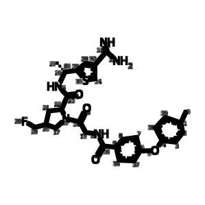 Cc1ccc(Oc2ccc(C(=O)NCC(=O)N3CC(CF)CC3C(=O)N[C@H](C)c3cc(C(=N)N)cs3)cc2)cc1